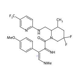 CN/C=C(\C(=N)C(=O)N1CC(F)(F)CC(C)C1CNc1ccc(C(F)(F)F)cn1)c1ccc(OC)cc1